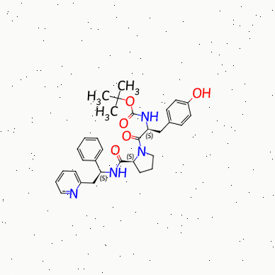 CC(C)(C)OC(=O)N[C@@H](Cc1ccc(O)cc1)C(=O)N1CCC[C@H]1C(=O)N[C@@H](Cc1ccccn1)c1ccccc1